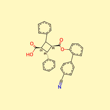 N#Cc1ccc(-c2ccccc2OC(=O)[C@@H]2C(c3ccccc3)[C@H](C(=O)O)[C@H]2c2ccccc2)cc1